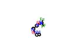 O=C(N[C@@H]1CCCc2ccccc21)c1cc(C2CCN(C(=O)Cn3nc(C(F)F)cc3C(F)F)CC2)ccn1